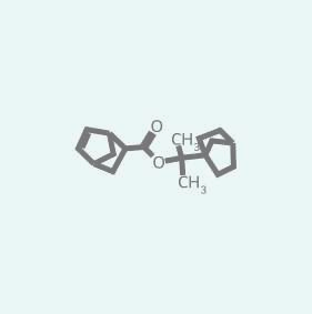 CC(C)(OC(=O)C1CC2C=CC1C2)C12CCC(CC1)C2